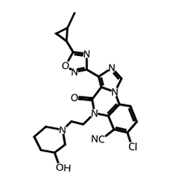 CC1CC1c1nc(-c2ncn3c2c(=O)n(CCN2CCCC(O)C2)c2c(C#N)c(Cl)ccc23)no1